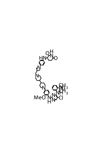 COc1cc(N2CCC(C3CCN(CC4CN(c5ccc(NC6CCC(=O)NC6=O)cc5)C4)CC3)CC2)ccc1Nc1ncc(Cl)c(Nc2ccccc2P(C)(C)=O)n1